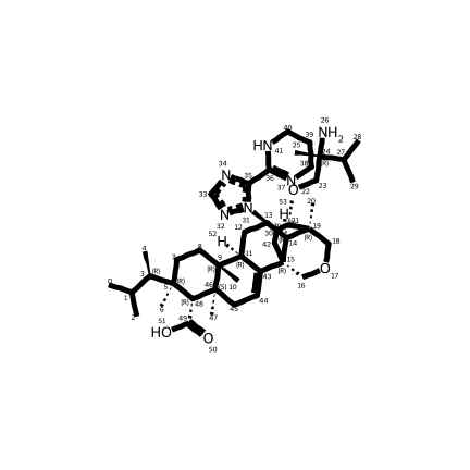 CC(C)[C@@H](C)[C@@]1(C)CC[C@]2(C)[C@H]3CC[C@@H]4[C@@]5(COC[C@]4(C)[C@@H](OC[C@](C)(N)C(C)C)[C@H](n4ncnc4C4=NCCCN4)C5)C3=CC[C@@]2(C)[C@@H]1C(=O)O